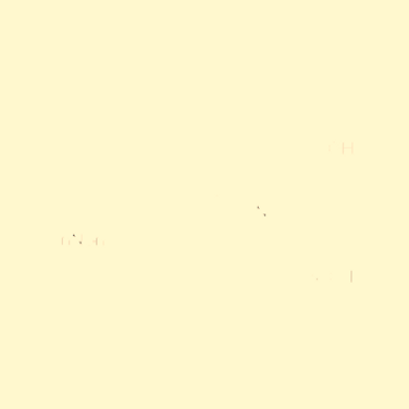 CCCCCCCCCCCC[N+](C)(C)C(C(C)O)S(=O)(=O)O